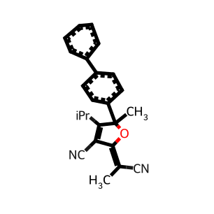 C/C(C#N)=C1/OC(C)(c2ccc(-c3ccccc3)cc2)C(C(C)C)=C1C#N